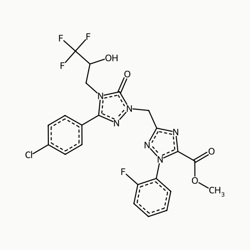 COC(=O)c1nc(Cn2nc(-c3ccc(Cl)cc3)n(CC(O)C(F)(F)F)c2=O)nn1-c1ccccc1F